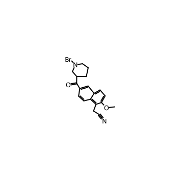 COc1ccc2cc(C(=O)C3CCCN(Br)C3)ccc2c1CC#N